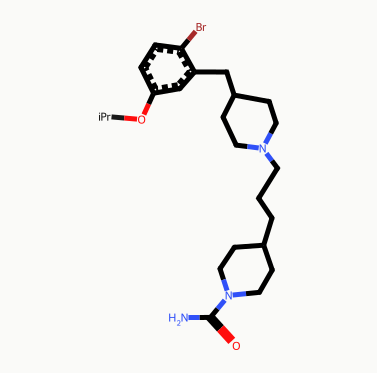 CC(C)Oc1ccc(Br)c(CC2CCN(CCCC3CCN(C(N)=O)CC3)CC2)c1